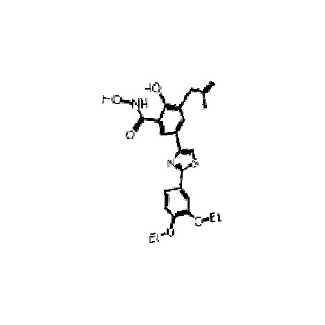 C=C(C)Cc1cc(-c2csc(-c3ccc(OCC)c(OCC)c3)n2)cc(C(=O)NO)c1O